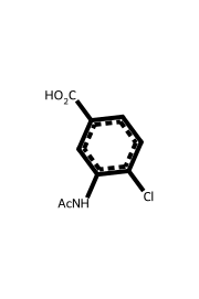 CC(=O)Nc1cc(C(=O)O)ccc1Cl